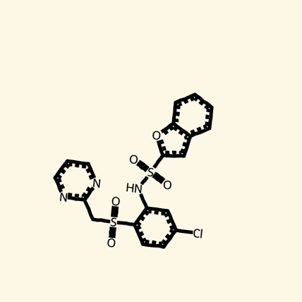 O=S(=O)(Cc1ncccn1)c1ccc(Cl)cc1NS(=O)(=O)c1cc2ccccc2o1